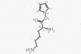 NCCCC[C@H](N)C(=O)On1cccc1